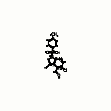 Cc1ccc(S(=O)(=O)n2cc(I)c3c(C=O)c(Cl)cnc32)cc1